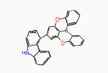 c1ccc2c(c1)Oc1cc(-c3cccc4[nH]c5ccccc5c34)cc3c1B2c1ccccc1O3